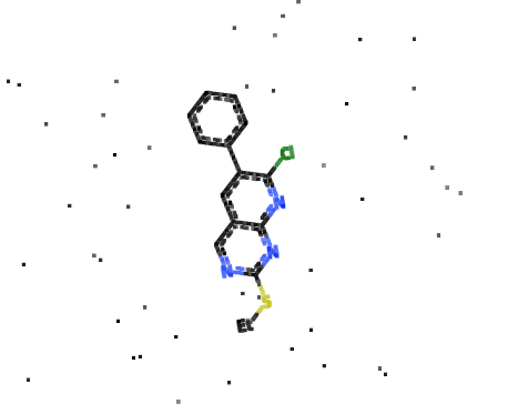 CCSc1ncc2cc(-c3ccccc3)c(Cl)nc2n1